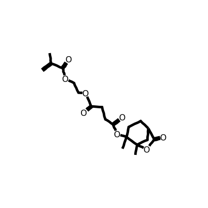 C=C(C)C(=O)OCCOC(=O)CCC(=O)OC1(C)CCC2CC1(C)OC2=O